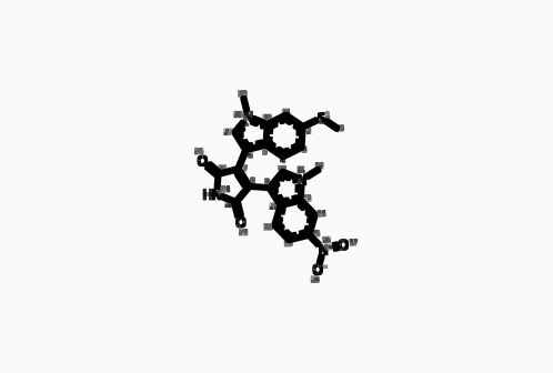 CSc1ccc2c(C3=C(c4cn(C)c5cc([N+](=O)[O-])ccc45)C(=O)NC3=O)cn(C)c2c1